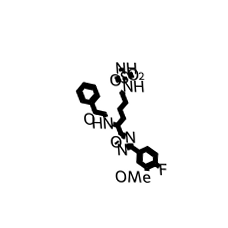 COc1cc(-c2noc(C(CCCCNS(N)(=O)=O)NCC(=O)c3ccccc3)n2)ccc1F